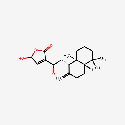 C=C1CC[C@H]2C(C)(C)CCC[C@]2(C)[C@H]1C[C@@H](O)C1=CC(O)OC1=O